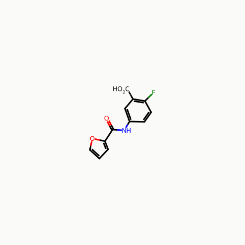 O=C(Nc1ccc(F)c(C(=O)O)c1)c1ccco1